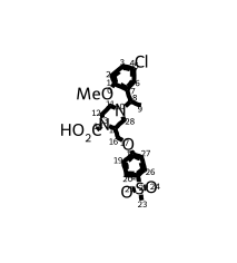 COc1ccc(Cl)cc1C(C)N1CCN(C(=O)O)C(COc2ccc(S(C)(=O)=O)cc2)C1